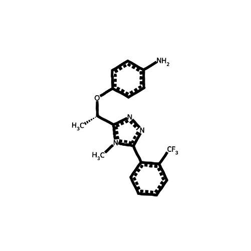 C[C@H](Oc1ccc(N)cc1)c1nnc(-c2ccccc2C(F)(F)F)n1C